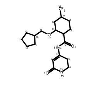 O=C1C=C(NC(=O)C2CCC(C(F)(F)F)CC2OCC2CCCC2)CCN1